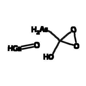 OC1([AsH2])OO1.[O]=[GaH]